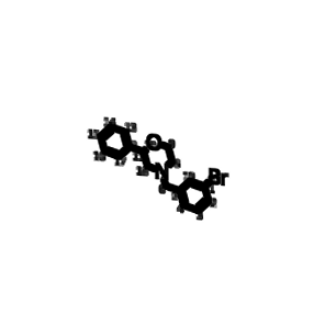 Brc1cccc(CN2CCOC(c3ccccc3)C2)c1